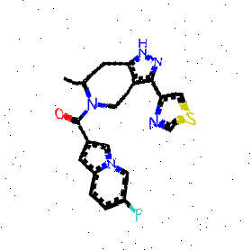 CC1Cc2[nH]nc(-c3cscn3)c2CN1C(=O)c1cc2ccc(F)cn2c1